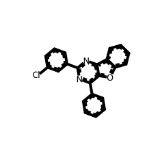 Clc1cccc(-c2nc(-c3ccccc3)c3oc4ccccc4c3n2)c1